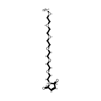 CCCOCCOCCOCCOCCOCCOCCN1C(=O)C=CC1=O